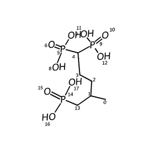 CC(CCC(P(=O)(O)O)P(=O)(O)O)CP(=O)(O)O